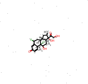 CC1C[C@H]2[C@@H]3CC(F)C4=CC(=O)C=C[C@]4(C)[C@@]3(Cl)C(O)C[C@]2(C)[C@@]1(O)C(=O)CO